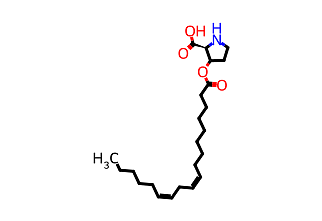 CCCCC/C=C\C/C=C\CCCCCCCC(=O)OC1CCN[C@@H]1C(=O)O